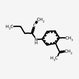 C=C=C(CCC)Nc1ccc(C)c(C(=C)C)c1